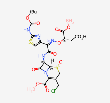 BOC(=O)C1=C(CCl)C[S+]([O-])[C@@H]2[C@H](NC(=O)/C(=N\O[C@@H](CC(=O)O)C(=O)OB)c3csc(NC(=O)OC(C)(C)C)n3)C(=O)N12